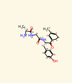 CC1=C[CH]CC(C(=O)[C@H](Cc2ccc(O)cc2)NC(=O)CNC(=O)[C@@H](C)N)=C1